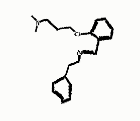 CN(C)CCCOc1ccccc1C=NCCc1ccccc1